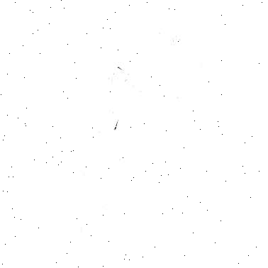 Cc1ccc(S(=O)(=O)OC[C@@H]2C[C@@H]3c4cccc5[nH]cc(c45)C[C@H]3N(C)C2)cc1